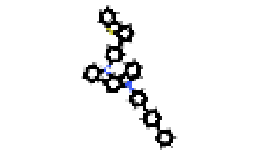 c1ccc(-c2ccc(-c3ccc(-n4c5ccccc5c5c4ccc4c6ccccc6n(-c6ccc(-c7cccc8c7sc7ccccc78)cc6)c45)cc3)cc2)cc1